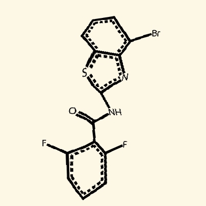 O=C(Nc1nc2c(Br)cccc2s1)c1c(F)cccc1F